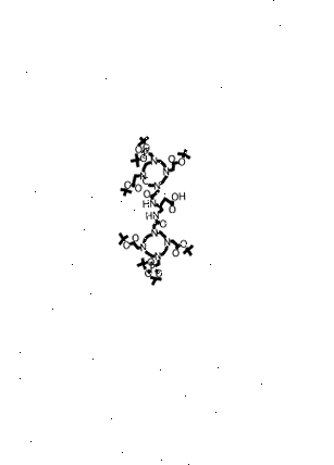 CC(C)(C)OC(=O)CN1CCN(CC(=O)NCC(CC(=O)O)NC(=O)CN2CCN(CC(=O)OC(C)(C)C)CCN(CP(=O)(OC(C)(C)C)OC(C)(C)C)CCN(CC(=O)OC(C)(C)C)CC2)CCN(CC(=O)OC(C)(C)C)CCN(CP(=O)(OC(C)(C)C)OC(C)(C)C)CC1